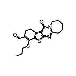 CCCSC1=C(C=O)CCc2c1sc1nc3n(c(=O)c21)CCCCC3